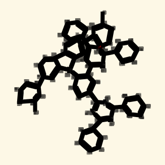 Cc1cccc(-c2ccc3c4ccc(-c5cccc(C)c5)cc4n(-c4ccc(-c5nc(-c6ccccc6)nc(-c6ccccc6)n5)cc4-c4cc(-c5ccccc5)nc(-c5ccccc5)n4)c3c2)c1